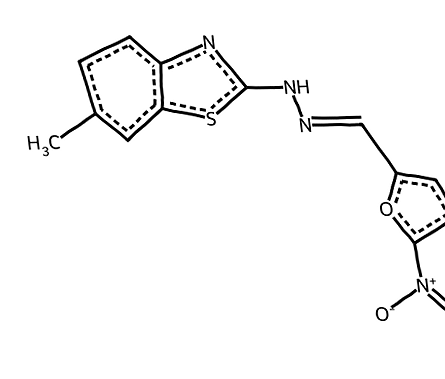 Cc1ccc2nc(NN=Cc3ccc([N+](=O)[O-])o3)sc2c1